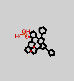 OP(O)Oc1cccc(-c2cc3c(-c4ccccc4)cc(-c4ccccc4)cc3cc2-c2ccccc2)c1-c1ccc2ccccc2c1